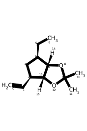 C=C[C@H]1C[C@@H](CC)[C@@H]2OC(C)(C)O[C@@H]21